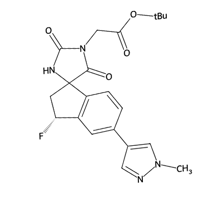 Cn1cc(-c2ccc3c(c2)[C@H](F)CC32NC(=O)N(CC(=O)OC(C)(C)C)C2=O)cn1